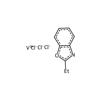 CCc1nc2ccccc2o1.[Cl-].[Cl-].[Cl-].[V+3]